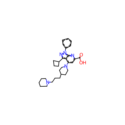 O=C(O)c1cc(N2CCC(CCCN3CCCCC3)CC2)c2c(C3CCC3)nn(-c3ccccc3)c2n1